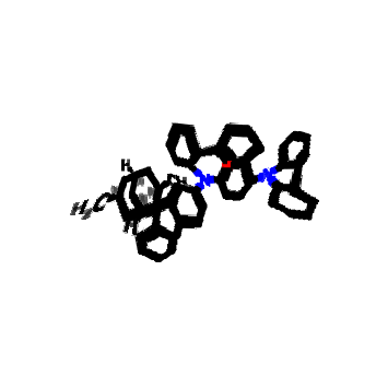 C[C@H]1C[C@@H]2C[C@H](C1)C1(c3ccccc3-c3ccc(N(c4ccc(-n5c6ccccc6c6ccccc65)cc4)c4ccccc4-c4ccccc4)cc31)[C@H](C)C2